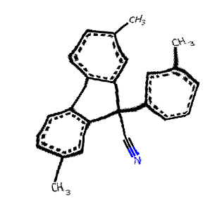 Cc1cccc(C2(C#N)c3cc(C)ccc3-c3ccc(C)cc32)c1